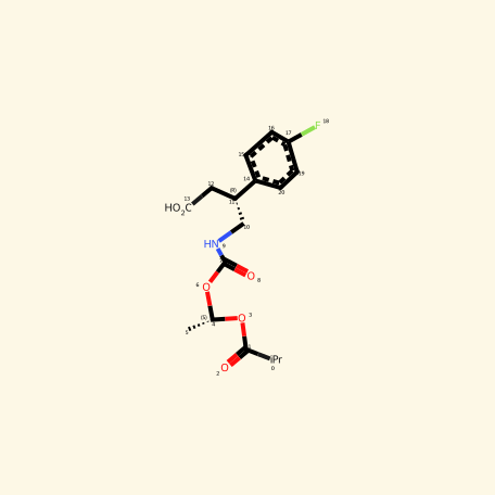 CC(C)C(=O)O[C@H](C)OC(=O)NC[C@H](CC(=O)O)c1ccc(F)cc1